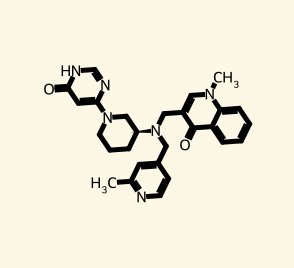 Cc1cc(CN(Cc2cn(C)c3ccccc3c2=O)[C@H]2CCCN(c3cc(=O)[nH]cn3)C2)ccn1